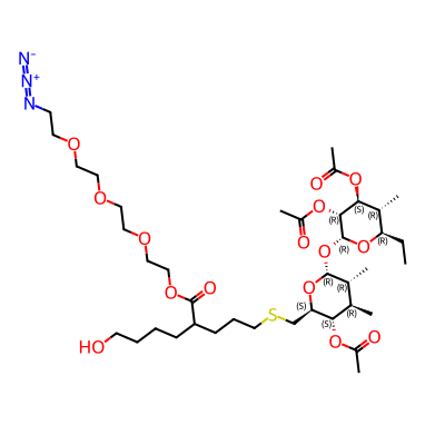 CC[C@H]1O[C@H](O[C@H]2O[C@H](CSCCCC(CCCCO)C(=O)OCCOCCOCCOCCN=[N+]=[N-])[C@@H](OC(C)=O)[C@H](C)[C@H]2C)[C@H](OC(C)=O)[C@@H](OC(C)=O)[C@@H]1C